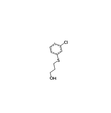 OCCCSc1cc[c]c(Cl)c1